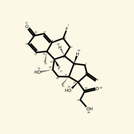 C=C1C[C@H]2[C@@H]3CC(F)C4=CC(=O)C=C[C@]4(C)[C@@]3(F)[C@@H](O)C[C@]2(C)[C@@]1(O)C(=O)CO